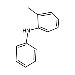 Cc1ccccc1Nc1ccccc1